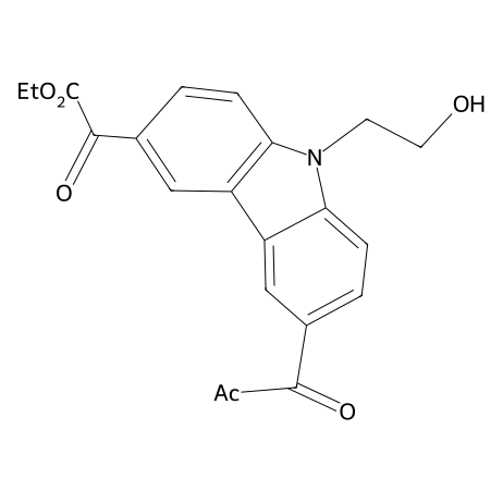 CCOC(=O)C(=O)c1ccc2c(c1)c1cc(C(=O)C(C)=O)ccc1n2CCO